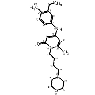 CCc1cc(Nc2cc(=O)n(CCCCN3CCOCC3)c(N)n2)ccc1C